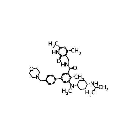 Cc1cc(C)c(CNC(=O)c2cc(-c3ccc(CN4CCOCC4)cc3)cc(N(C)[C@H]3CC[C@@H](NC(C)C)CC3)c2C)c(=O)[nH]1